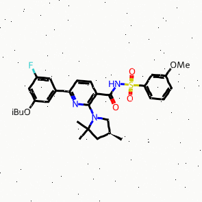 COc1cccc(S(=O)(=O)NC(=O)c2ccc(-c3cc(F)cc(OCC(C)C)c3)nc2N2C[C@@H](C)CC2(C)C)c1